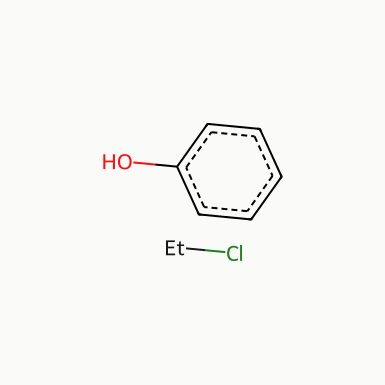 CCCl.Oc1ccccc1